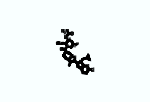 Cc1c(-c2cc3ccc(Cl)nc3n2CC2CC2)nn2cc(C(=O)N3C[C@H](F)C[C@@H](OC(N)=O)C3C(C)(C)C)ccc12